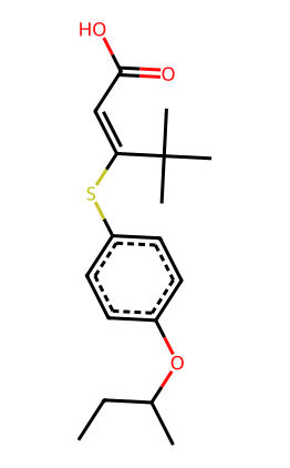 CCC(C)Oc1ccc(SC(=CC(=O)O)C(C)(C)C)cc1